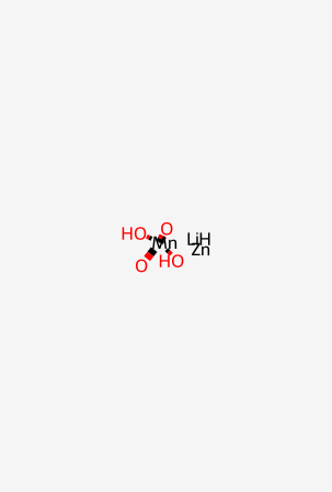 [LiH].[O]=[Mn](=[O])([OH])[OH].[Zn]